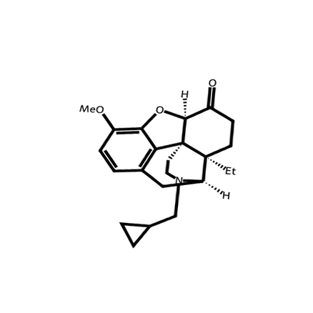 CC[C@@]12CCC(=O)[C@@H]3Oc4c(OC)ccc5c4[C@@]31CCN(CC1CC1)[C@@H]2C5